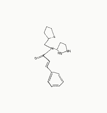 O=C(/C=C/c1ccccc1)N(CC1CCCS1)C1CCNN1